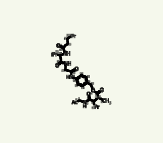 CC(=O)CNC(=O)C(C(C)C)N(C)C(=O)OCc1ccc(NC(=O)CNC(=O)C(NC(=O)CCC(C)C)C(C)C)cc1